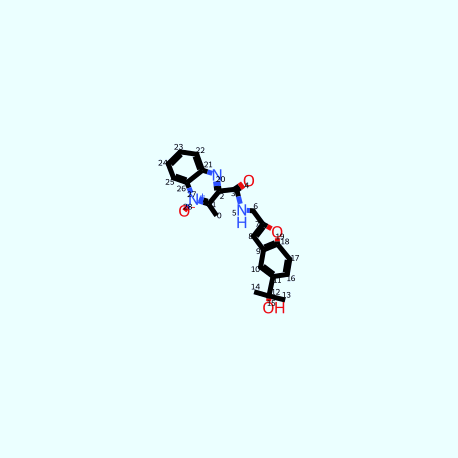 Cc1c(C(=O)NCc2cc3cc(C(C)(C)O)ccc3o2)nc2ccccc2[n+]1[O-]